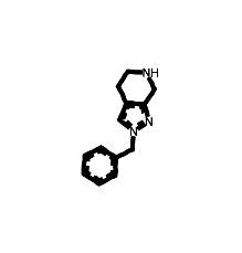 c1ccc(Cn2cc3c(n2)CNCC3)cc1